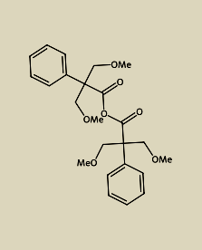 COCC(COC)(C(=O)OC(=O)C(COC)(COC)c1ccccc1)c1ccccc1